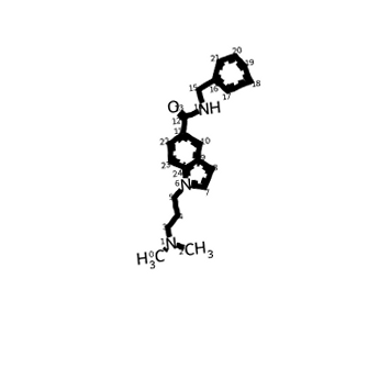 CN(C)CCCn1ccc2cc(C(=O)NCc3ccccc3)ccc21